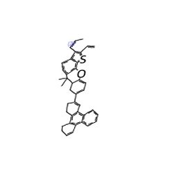 C=Cc1sc2c3c(ccc2c1/C=C\C)C(C)(C)C1CC(C2=Cc4c(c5c(c6ccccc46)C=CCC5)CC2)=CC=C1O3